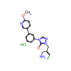 COc1ccc(-c2cccc(-n3cnn(C/C(=C/F)CN)c3=O)c2)cn1.Cl